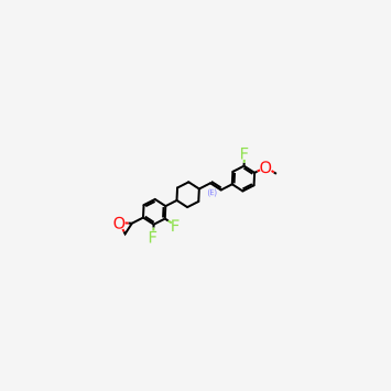 COc1ccc(/C=C/C2CCC(c3ccc(C4CO4)c(F)c3F)CC2)cc1F